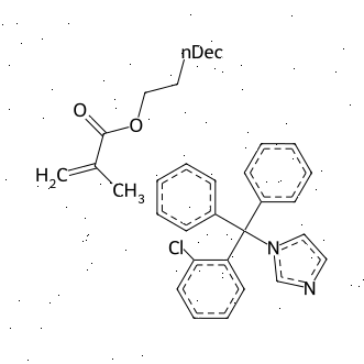 C=C(C)C(=O)OCCCCCCCCCCCC.Clc1ccccc1C(c1ccccc1)(c1ccccc1)n1ccnc1